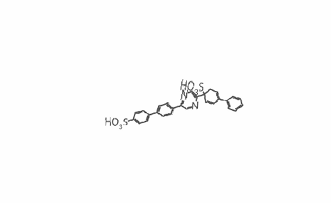 O=S(=O)(O)c1ccc(-c2ccc(-c3cnc(C4(S(=O)(=O)O)C=CC(c5ccccc5)=CC4)cn3)cc2)cc1